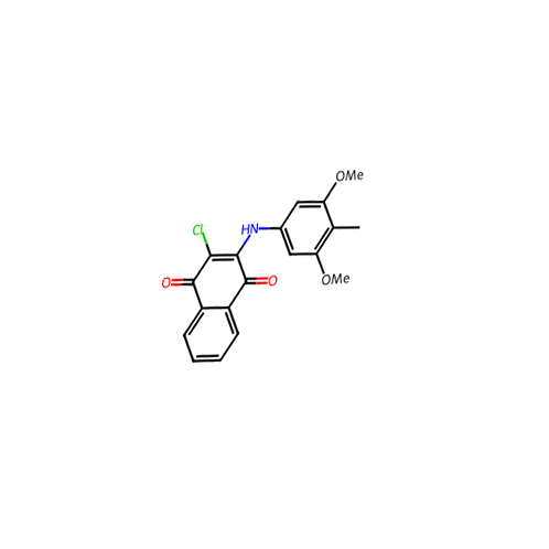 COc1cc(NC2=C(Cl)C(=O)c3ccccc3C2=O)cc(OC)c1C